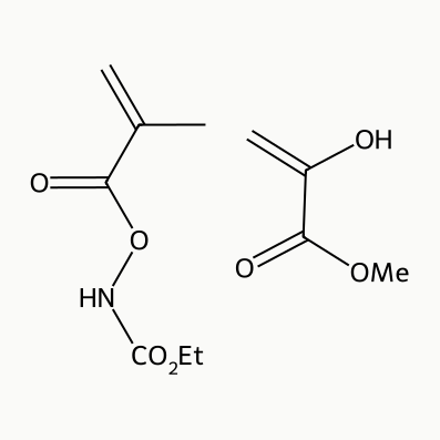 C=C(C)C(=O)ONC(=O)OCC.C=C(O)C(=O)OC